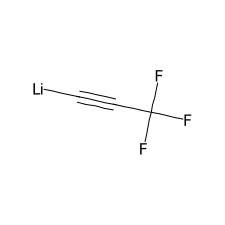 [Li][C]#CC(F)(F)F